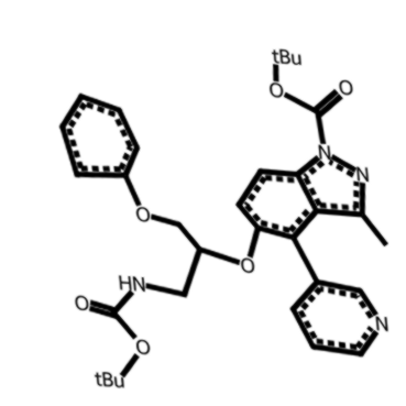 Cc1nn(C(=O)OC(C)(C)C)c2ccc(OC(CNC(=O)OC(C)(C)C)COc3ccccc3)c(-c3cccnc3)c12